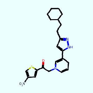 O=C(CN1C=CCC(c2cc(CCC3CCCCC3)n[nH]2)=C1)c1cc([N+](=O)[O-])cs1